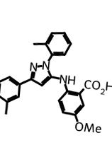 COc1ccc(Nc2cc(-c3cccc(C)c3)nn2-c2ccccc2C)c(C(=O)O)c1